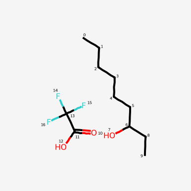 CCCCCCC(O)CC.O=C(O)C(F)(F)F